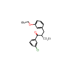 CCOC(=O)C(Cc1cccc(OCC(C)(C)C)c1)C(=O)c1cccc(Cl)c1